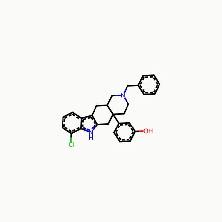 Oc1cccc(C23CCN(Cc4ccccc4)CC2Cc2c([nH]c4c(Cl)cccc24)C3)c1